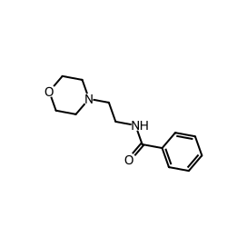 O=C(NCCN1CCOCC1)c1ccccc1